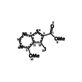 COC(=O)c1sc2ncnc(OC)c2c1I